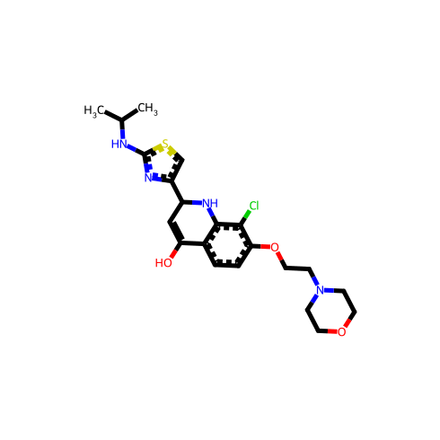 CC(C)Nc1nc(C2C=C(O)c3ccc(OCCN4CCOCC4)c(Cl)c3N2)cs1